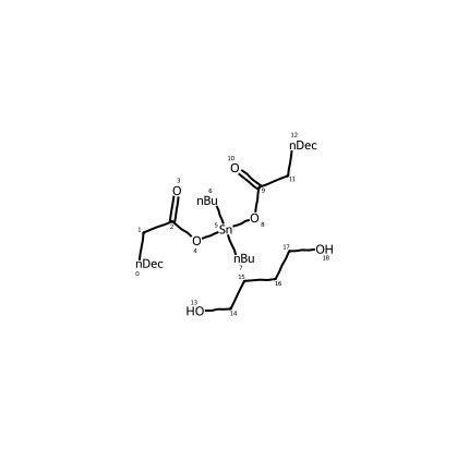 CCCCCCCCCCCC(=O)[O][Sn]([CH2]CCC)([CH2]CCC)[O]C(=O)CCCCCCCCCCC.OCCCCO